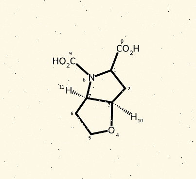 O=C(O)C1C[C@H]2OCC[C@H]2N1C(=O)O